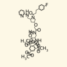 CS(=O)(=O)c1cc(S(C)(=O)=O)c(S(=O)(=O)NC(CNC(=O)COC2CC(CNc3ccccn3)N(C(=O)CCc3ccc(F)cc3)C2)C(=O)O)c(S(C)(=O)=O)c1